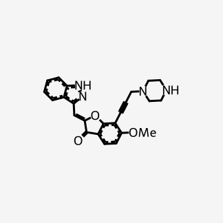 COc1ccc2c(c1C#CCN1CCNCC1)O/C(=C\c1n[nH]c3ccccc13)C2=O